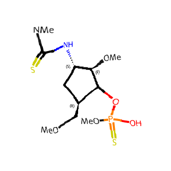 CNC(=S)N[C@H]1C[C@H](COC)C(OP(O)(=S)OC)[C@@H]1OC